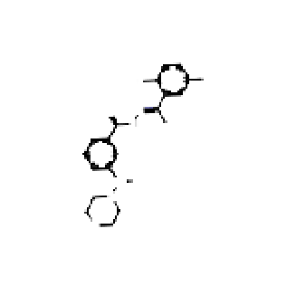 C/C(=N\NC(=O)c1cccc([S+]([O-])N2CCOCC2)c1)c1cc(Cl)ccc1F